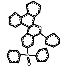 O=P(c1ccccc1)(c1ccccc1)c1ccc2c(c1)c(-c1ccccc1)nc1c3ccccc3c3ccccc3c21